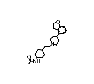 CC(=O)NC1CCC(CCN2CCC(c3cccc4c3CCO4)CC2)CC1